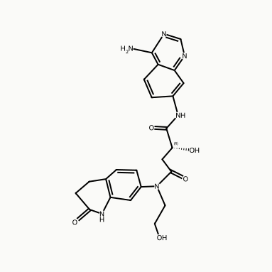 Nc1ncnc2cc(NC(=O)[C@H](O)CC(=O)N(CCO)c3ccc4c(c3)NC(=O)CC4)ccc12